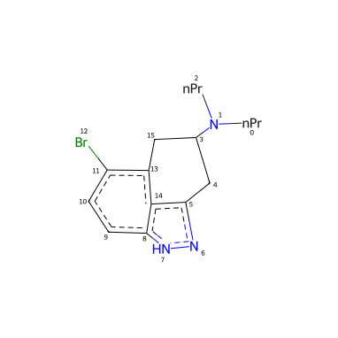 CCCN(CCC)C1Cc2n[nH]c3ccc(Br)c(c23)C1